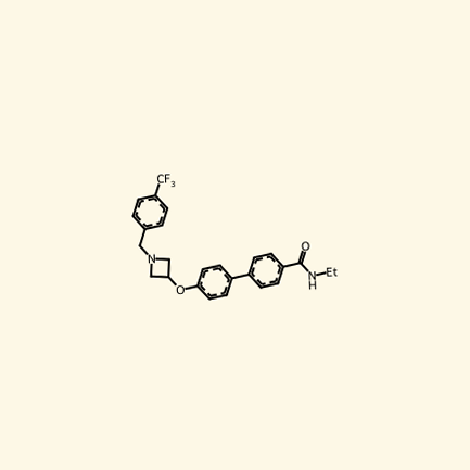 CCNC(=O)c1ccc(-c2ccc(OC3CN(Cc4ccc(C(F)(F)F)cc4)C3)cc2)cc1